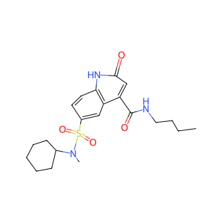 CCCCNC(=O)c1cc(=O)[nH]c2ccc(S(=O)(=O)N(C)C3CCCCC3)cc12